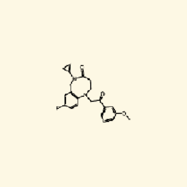 COc1cccc(C(=O)CN2CCC(=O)N(C3CC3)Cc3cc(F)ccc32)c1